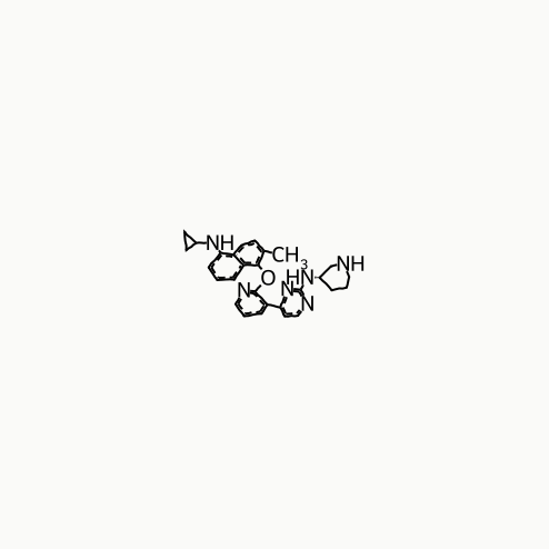 Cc1ccc2c(NC3CC3)cccc2c1Oc1ncccc1-c1ccnc(N[C@H]2CCCNC2)n1